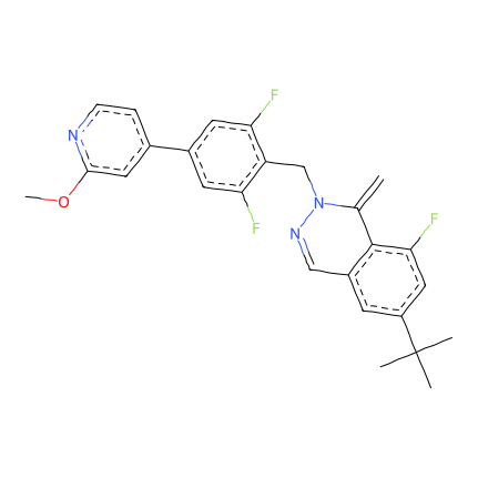 C=C1c2c(F)cc(C(C)(C)C)cc2C=NN1Cc1c(F)cc(-c2ccnc(OC)c2)cc1F